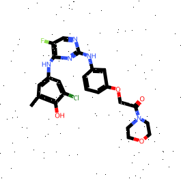 Cc1cc(Nc2nc(Nc3cccc(OCC(=O)N4CCOCC4)c3)ncc2F)cc(Cl)c1O